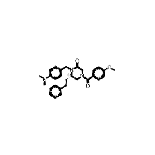 COc1ccc(C(=O)N2CC(=O)N(Cc3ccc(N(C)C)cc3)[C@@H](CCc3ccccc3)C2)cc1